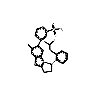 CS(=O)(=O)c1cc(-c2cc3c(cc2F)nc2n3[C@H](c3ccccc3OC(F)F)CC2)ccn1